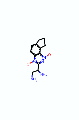 NCC(N)c1n[n+]([O-])c2c3c(ccc2[n+]1[O-])CCC3